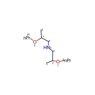 CCCOC(C)CNCC(C)OCCC